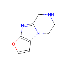 c1cc2c(nc3n2CCNC3)o1